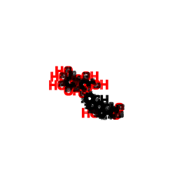 C[C@]12CC[C@H](O[C@@H]3O[C@H](CO)[C@@H](O)[C@H](O)[C@H]3OC3O[C@H](CO)[C@@H](O)[C@H](O)[C@H]3O)CC1=CCC1C2CC[C@]2(C)[C@H](C3=CC(=O)OC3)CC[C@]12O